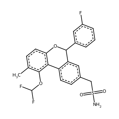 Cc1ccc2c(c1OC(F)F)-c1ccc(CS(N)(=O)=O)cc1C(c1cccc(F)c1)O2